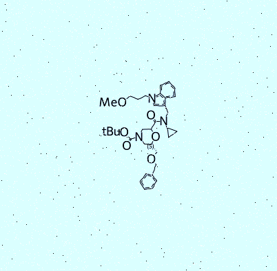 COCCCn1cc(CN(C(=O)C2CN(C(=O)OC(C)(C)C)C[C@@H](COCc3ccccc3)O2)C2CC2)c2ccccc21